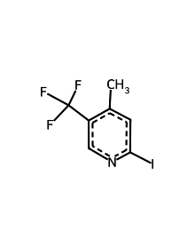 Cc1cc(I)ncc1C(F)(F)F